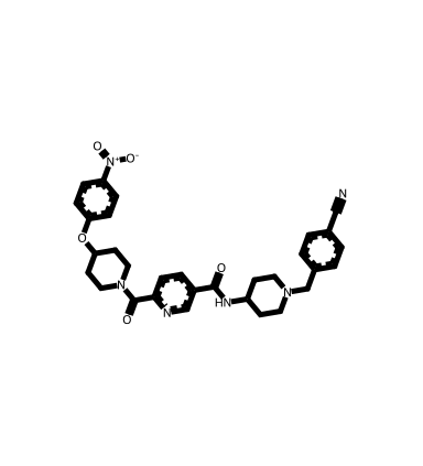 N#Cc1ccc(CN2CCC(NC(=O)c3ccc(C(=O)N4CCC(Oc5ccc([N+](=O)[O-])cc5)CC4)nc3)CC2)cc1